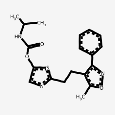 Cc1onc(-c2ccccc2)c1CCc1ncc(OC(=O)NC(C)C)s1